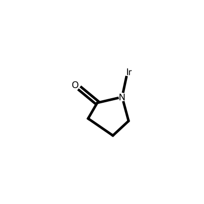 O=C1CCC[N]1[Ir]